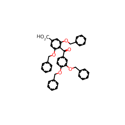 O=C(O)c1cc(OCc2ccccc2)c(C(=O)c2ccc(OCc3ccccc3)c(OCc3ccccc3)c2)c(OCc2ccccc2)c1